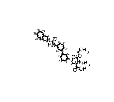 CCOC(=O)N(C)C(COc1cccc(-c2cccc(NC(=O)NCc3ccccn3)c2)c1)C(=O)O